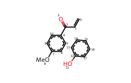 C=CC(=O)c1ccc(OC)cc1.Oc1ccccc1